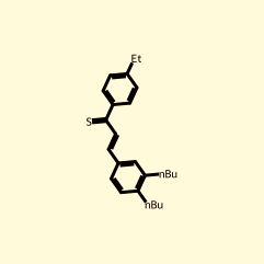 CCCCc1ccc(C=CC(=S)c2ccc(CC)cc2)cc1CCCC